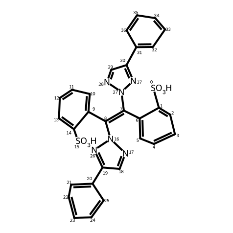 O=S(=O)(O)c1ccccc1C(=C(c1ccccc1S(=O)(=O)O)n1ncc(-c2ccccc2)n1)n1ncc(-c2ccccc2)n1